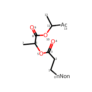 CCCCCCCCCCCC(=O)OC(C)C(=O)OC(C)C(C)=O